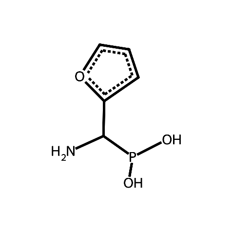 NC(c1ccco1)P(O)O